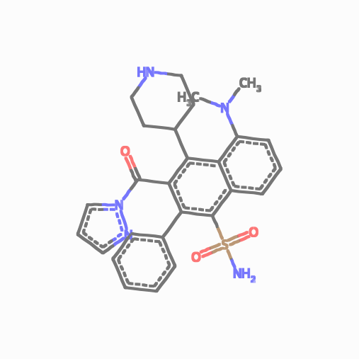 CN(C)c1cccc2c(S(N)(=O)=O)c(-c3ccccc3)c(C(=O)n3cccn3)c(C3CCNCC3)c12